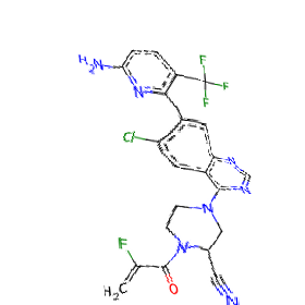 C=C(F)C(=O)N1CCN(c2ncnc3cc(-c4nc(N)ccc4C(F)(F)F)c(Cl)cc23)CC1C#N